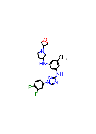 Cc1cc(Nc2ncn(-c3ccc(F)c(F)c3)n2)cc(NC2CCN(C3COC3)C2)c1